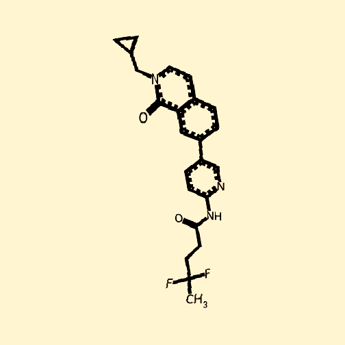 CC(F)(F)CCC(=O)Nc1ccc(-c2ccc3ccn(CC4CC4)c(=O)c3c2)cn1